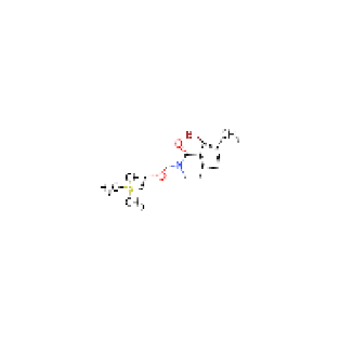 Cc1ccc2ccn(COCCS(C)(C)C)c(=O)c2c1Br